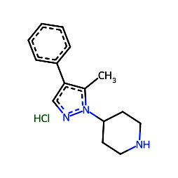 Cc1c(-c2ccccc2)cnn1C1CCNCC1.Cl